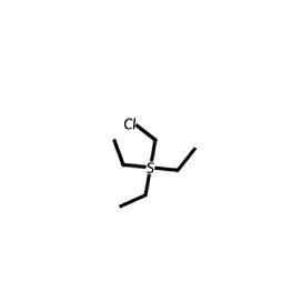 CCS(CC)(CC)CCl